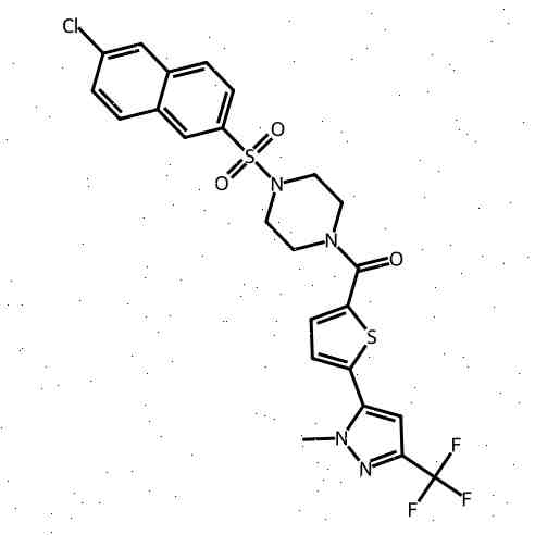 Cn1nc(C(F)(F)F)cc1-c1ccc(C(=O)N2CCN(S(=O)(=O)c3ccc4cc(Cl)ccc4c3)CC2)s1